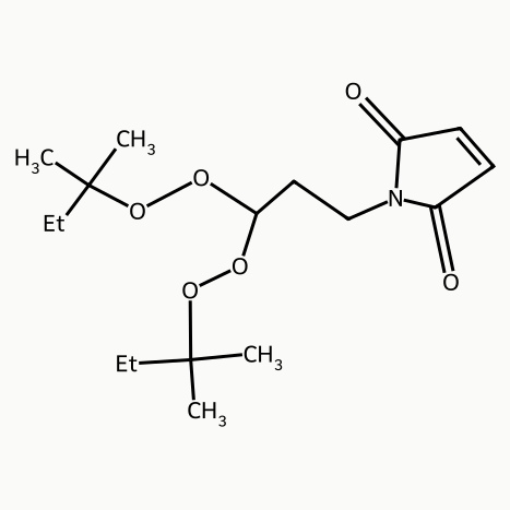 CCC(C)(C)OOC(CCN1C(=O)C=CC1=O)OOC(C)(C)CC